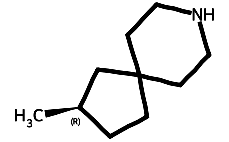 C[C@@H]1CCC2(CCNCC2)C1